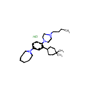 CCCCN1CCN(c2ccc(N3CCCCCC3)cc2C2CCC(C)(C)CC2)CC1.Cl